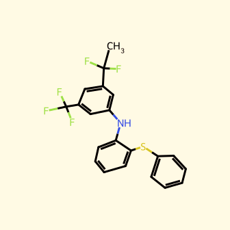 CC(F)(F)c1cc(Nc2ccccc2Sc2ccccc2)cc(C(F)(F)F)c1